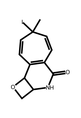 CC1(I)C=CC2=C(C=C1)C1OCC1NC2=O